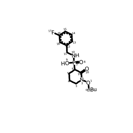 CCCCON1CCCC(P(=O)(O)NCc2cccc(F)c2)C1=O